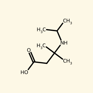 CC(C)NC(C)(C)CC(=O)O